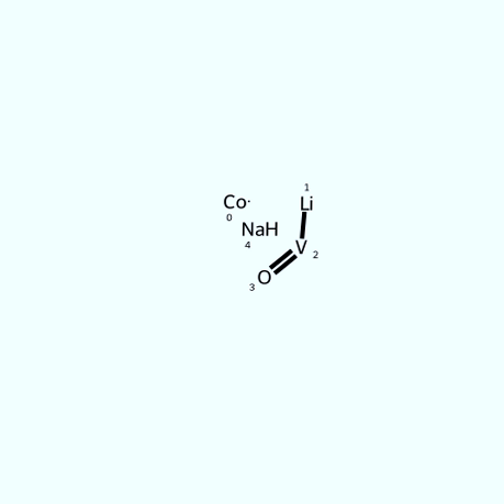 [Co].[Li][V]=[O].[NaH]